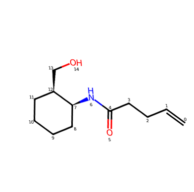 C=CCCC(=O)N[C@H]1CCCC[C@H]1CO